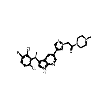 C[C@H](c1c(Cl)ccc(F)c1Cl)c1c[nH]c2ncc(-c3cnn(CC(=O)N4CCN(C)CC4)c3)cc12